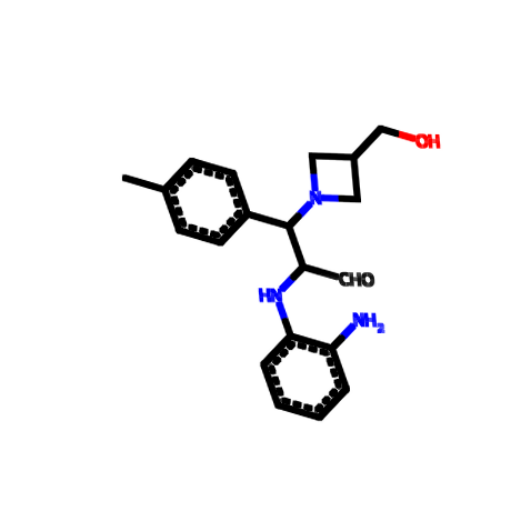 Cc1ccc(C(C(C=O)Nc2ccccc2N)N2CC(CO)C2)cc1